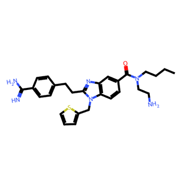 CCCCN(CCN)C(=O)c1ccc2c(c1)nc(CCc1ccc(C(=N)N)cc1)n2Cc1cccs1